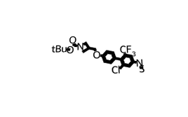 CC(C)(C)OC(=O)N1CC(COc2ccc(-c3c(Cl)cc(N=S)cc3C(F)(F)F)cc2)C1